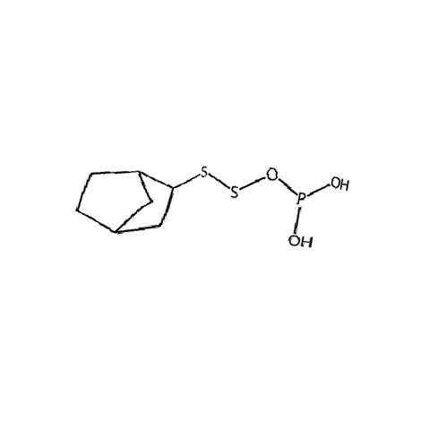 OP(O)OSSC1CC2CCC1C2